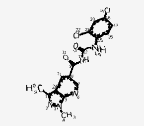 Cc1nn(C)c2ncc(C(=O)NC(=O)Nc3ccc(Cl)cc3Cl)cc12